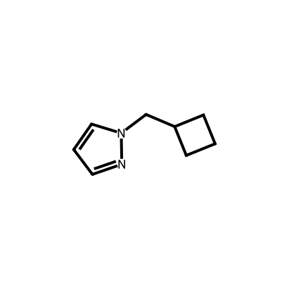 c1cnn(CC2CCC2)c1